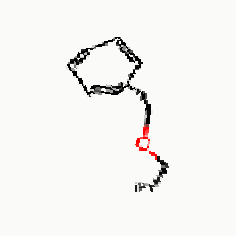 CC(C)COCc1ccccc1